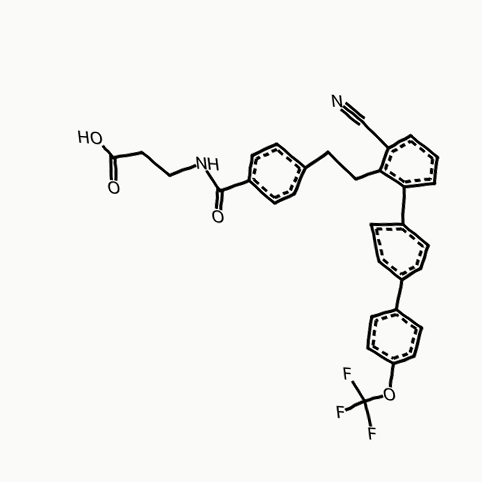 N#Cc1cccc(-c2ccc(-c3ccc(OC(F)(F)F)cc3)cc2)c1CCc1ccc(C(=O)NCCC(=O)O)cc1